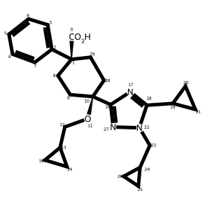 O=C(O)[C@]1(c2ccccc2)CC[C@@](OCC2CC2)(c2nc(C3CC3)n(CC3CC3)n2)CC1